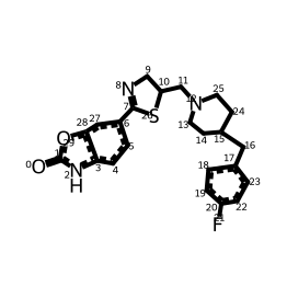 O=c1[nH]c2ccc(C3=NCC(CN4CCC(Cc5ccc(F)cc5)CC4)S3)cc2o1